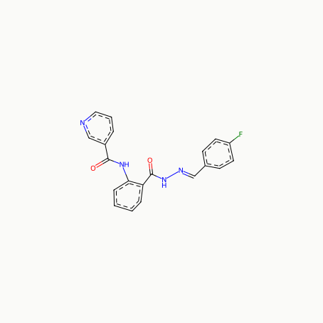 O=C(Nc1ccccc1C(=O)NN=Cc1ccc(F)cc1)c1cccnc1